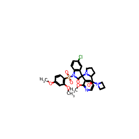 COc1ccc(S(=O)(=O)N2C(=O)C(c3cccnc3OC)(N3CCCC3C(=O)N3CCC3)c3cc(Cl)ccc32)c(OC)c1